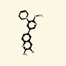 COc1ncc(-c2ccc3nc(N)c(Br)cc3c2)cc1N1CC=CCC1